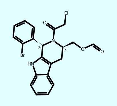 O=COC[C@H]1Cc2c([nH]c3ccccc23)[C@H](c2ccccc2Br)N1C(=O)CCl